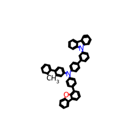 CC1CC=CC=C1c1ccc(N(c2ccc(-c3cccc(-n4c5ccc#cc5c5ccccc54)c3)cc2)c2ccc(-c3cccc4c3oc3ccccc34)cc2)cc1